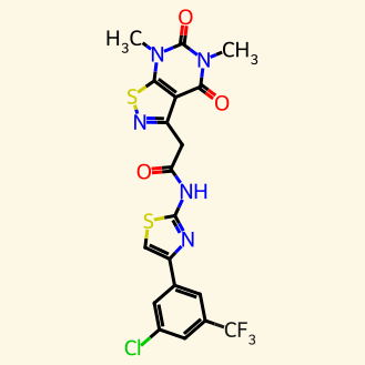 Cn1c(=O)c2c(CC(=O)Nc3nc(-c4cc(Cl)cc(C(F)(F)F)c4)cs3)nsc2n(C)c1=O